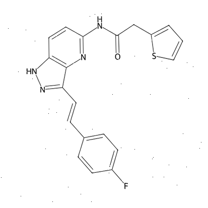 O=C(Cc1cccs1)Nc1ccc2[nH]nc(C=Cc3ccc(F)cc3)c2n1